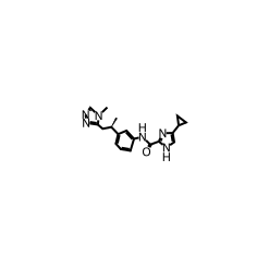 C[C@H](Cc1nncn1C)c1cccc(NC(=O)c2nc(C3CC3)c[nH]2)c1